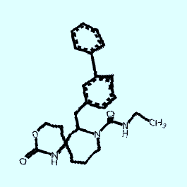 CCNC(=O)N1CCCC2(CCOC(=O)N2)C1Cc1cccc(-c2ccccc2)c1